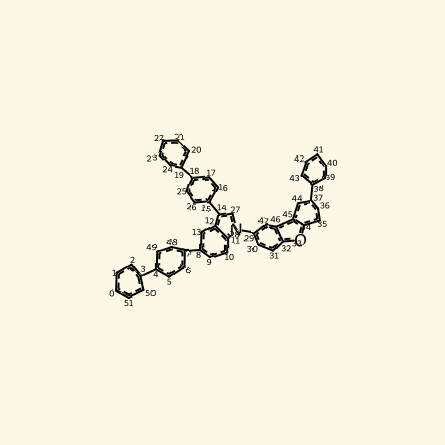 c1ccc(-c2ccc(-c3ccc4c(c3)c(-c3ccc(-c5ccccc5)cc3)cn4-c3ccc4oc5ccc(-c6ccccc6)cc5c4c3)cc2)cc1